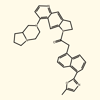 Cc1cnc(-c2cccc3c(CC(=O)N4CCc5cc6nccc(N7CCN8CCCC8C7)c6cc54)cccc23)o1